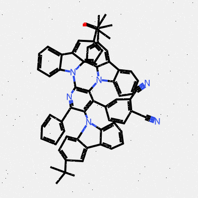 CC(C)(C)c1ccc2c(c1)c1ccccc1n2-c1nc(-c2ccccc2)c(-n2c3ccccc3c3cc(C(C)(C)C)ccc32)c(-c2ccc(C#N)c(C#N)c2)c1-n1c2ccccc2c2cc(C(C)(C)C)ccc21